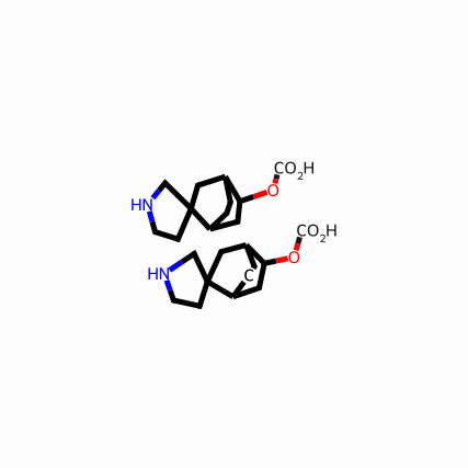 O=C(O)OC1CC2CCC1CC21CCNC1.O=C(O)OC1CC2CCC1CC21CCNC1